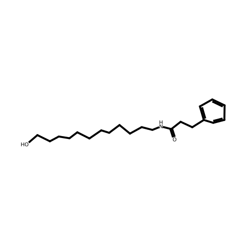 O=C(CCc1ccccc1)NCCCCCCCCCCCCO